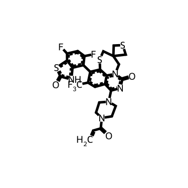 C=CC(=O)N1CCN(c2nc(=O)n3c4c(c(-c5c(F)cc(F)c6sc(=O)[nH]c56)c(C(F)(F)F)cc24)SCC2(CSC2)C3)CC1